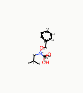 CC(C)CN(OCc1ccccc1)C(=O)O